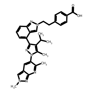 Cc1nc2nn(C)cc2cc1-n1nc(-c2cccc3nn(CCc4ccc(C(=O)O)cc4)cc23)c(C(C)C)c1C